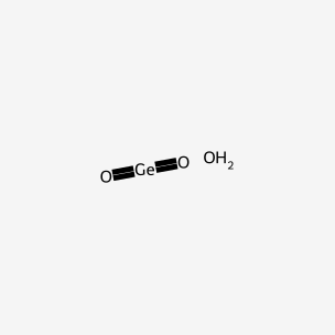 O.[O]=[Ge]=[O]